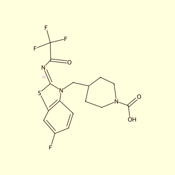 O=C(O)N1CCC(Cn2/c(=N\C(=O)C(F)(F)F)sc3cc(F)ccc32)CC1